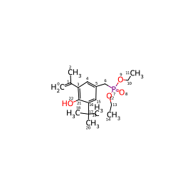 C=C(C)c1cc(CP(=O)(OCC)OCC)cc(C(C)(C)C)c1O